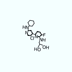 OCC(CO)CNc1nc(-c2cc(NC3CCCCC3)ncc2Cl)ccc1F